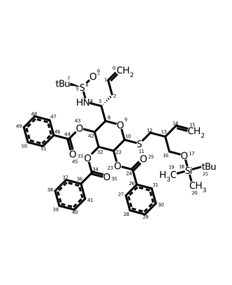 C=CC[C@@H](N[S@+]([O-])C(C)(C)C)C1OC(SCC(C=C)CO[Si](C)(C)C(C)(C)C)C(OC(=O)c2ccccc2)C(OC(=O)c2ccccc2)C1OC(=O)c1ccccc1